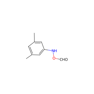 Cc1cc(C)cc(NOC=O)c1